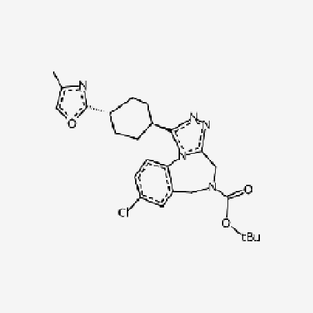 Cc1coc([C@H]2CC[C@H](c3nnc4n3-c3ccc(Cl)cc3CN(C(=O)OC(C)(C)C)C4)CC2)n1